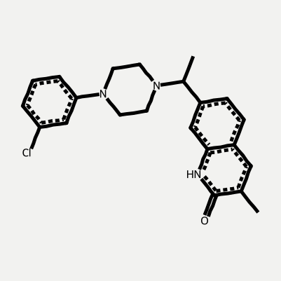 Cc1cc2ccc(C(C)N3CCN(c4cccc(Cl)c4)CC3)cc2[nH]c1=O